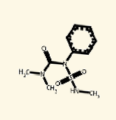 CNS(=O)(=O)N(C(=O)N(C)C)c1ccccc1